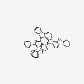 c1ccc(-c2ccc(-n3c4ccc5c6ccccc6oc5c4c4ccc5c6ccccc6n(-c6nc(-c7ccccc7)c7c(ccc8ccccc87)n6)c5c43)cc2)cc1